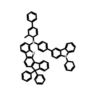 CC1C=C(c2ccccc2)C=CC1N(c1ccc(-c2ccc3c(c2)c2ccccc2n3C2C=CC=CC2)cc1)c1cccc2c1oc1c3c(ccc12)C(c1ccccc1)(c1ccccc1)c1ccccc1-3